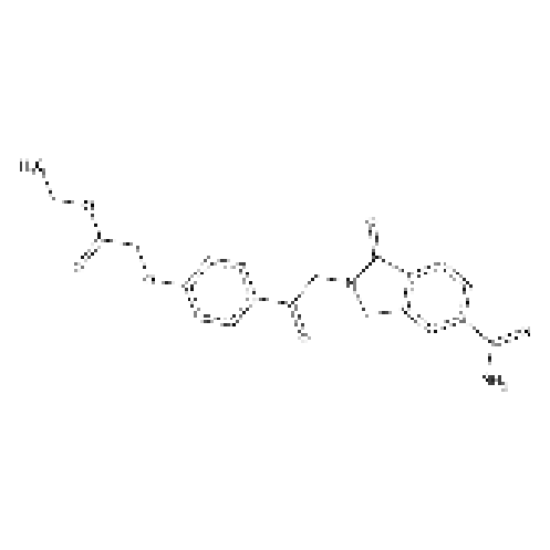 CCOC(=O)COc1ccc(C(=O)CN2Cc3cc(C(N)=S)ccc3C2=O)cc1